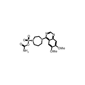 COc1cc2ncnc(N3CCCN(S(=O)(=O)OC(N)=O)CC3)c2cc1OC